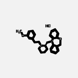 COc1cccc(CCN2CCCC[C@@H]2CN2c3ccccc3COc3ccccc32)c1.Cl